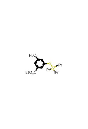 CCOC(=O)c1cc(C)cc(SS(C(C)C)(C(C)C)C(C)C)c1